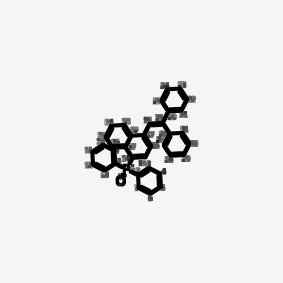 O=P(c1ccccc1)(c1ccccc1)c1ccc(C=C(c2ccccc2)c2ccccc2)c2ccccc12